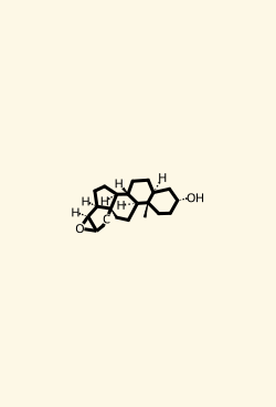 C[C@]12CC[C@@H](O)C[C@@H]1CC[C@@H]1[C@@H]2CC[C@@]23CCC4O[C@H]4[C@H]2CC[C@@H]13